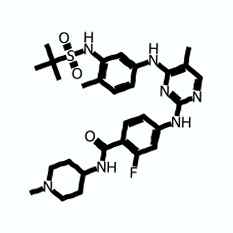 Cc1ccc(Nc2nc(Nc3ccc(C(=O)NC4CCN(C)CC4)c(F)c3)ncc2C)cc1NS(=O)(=O)C(C)(C)C